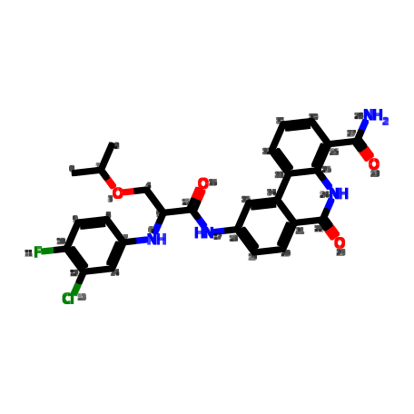 CC(C)OCC(Nc1ccc(F)c(Cl)c1)C(=O)Nc1ccc2c(=O)[nH]c3c(C(N)=O)cccc3c2c1